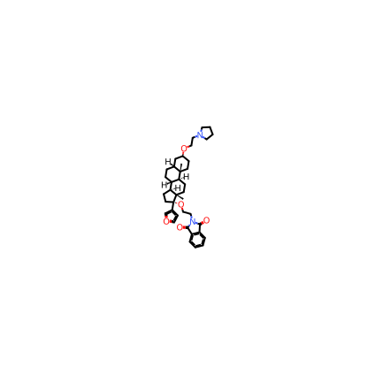 C[C@]12CC[C@H](OCCN3CCCC3)C[C@H]1CC[C@@H]1[C@@H]2CC[C@@]2(C)[C@H]1CC[C@]2(OCCN1C(=O)c2ccccc2C1=O)c1ccoc1